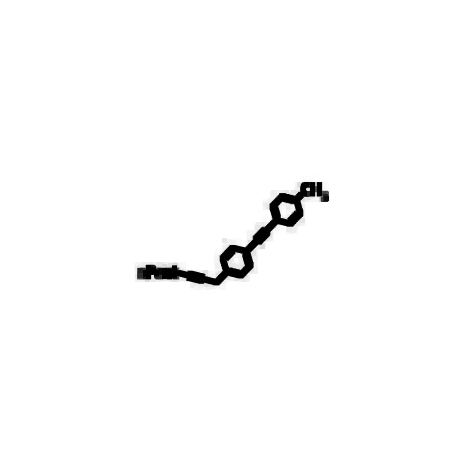 CCCCCC#CCc1ccc(C#Cc2ccc(C)cc2)cc1